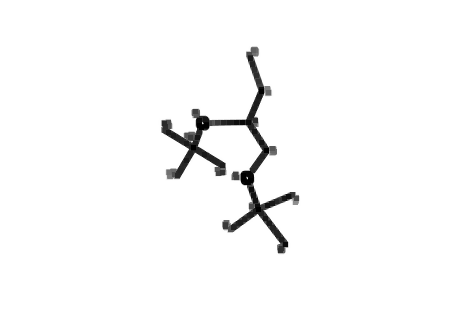 CCC(COC(C)(C)C)OC(C)(C)C